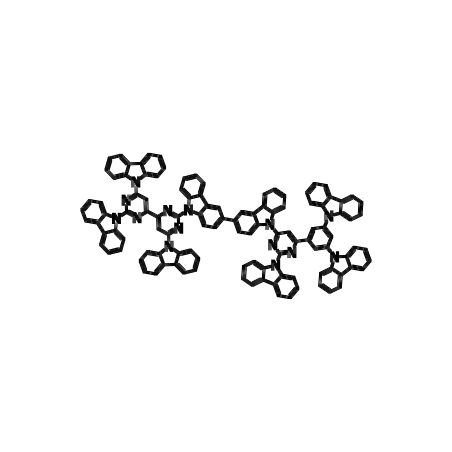 c1ccc2c(c1)c1ccccc1n2-c1cc(-c2cc(-n3c4ccccc4c4cc(-c5ccc6c(c5)c5ccccc5n6-c5nc(-c6cc(-n7c8ccccc8c8ccccc87)nc(-n7c8ccccc8c8ccccc87)n6)cc(-n6c7ccccc7c7ccccc76)n5)ccc43)nc(-n3c4ccccc4c4ccccc43)n2)cc(-n2c3ccccc3c3ccccc32)c1